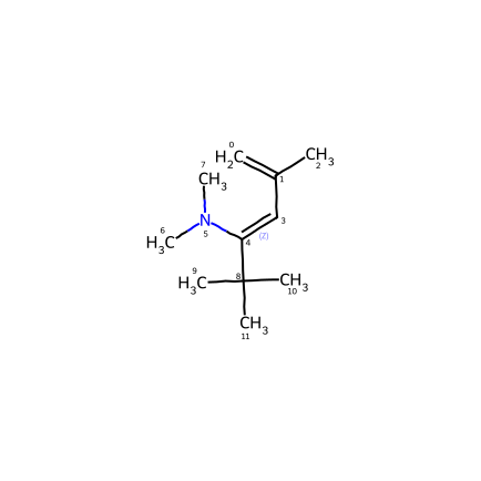 C=C(C)/C=C(\N(C)C)C(C)(C)C